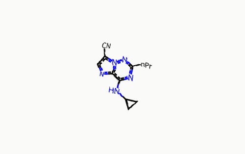 CCCc1nc(NC2CC2)c2ncc(C#N)n2n1